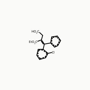 CCOC(=O)C(CC(=O)O)=C(c1ccccc1)c1ccccc1Cl